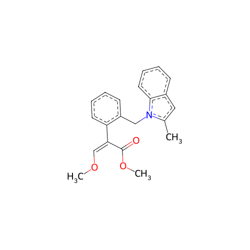 COC=C(C(=O)OC)c1ccccc1Cn1c(C)cc2ccccc21